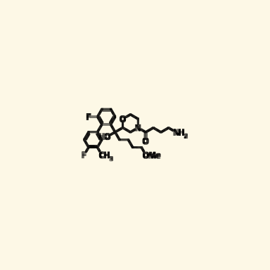 COCCCCC(O)(c1cccc(F)c1-c1ccc(F)c(C)c1)C1CN(C(=O)CCCN)CCO1